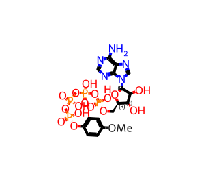 COc1ccc(OP(=O)(O)OP(=O)(O)OP(=O)(O)OP(=O)(O)OC[C@H]2O[C@@H](n3cnc4c(N)ncnc43)C(O)[C@H]2O)cc1